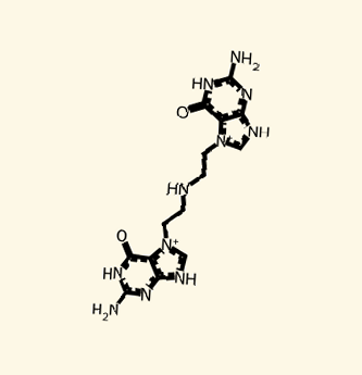 Nc1nc2[nH]c[n+](CCNCC[n+]3c[nH]c4nc(N)[nH]c(=O)c43)c2c(=O)[nH]1